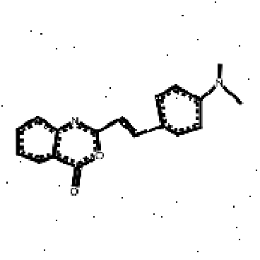 CN(C)c1ccc(C=Cc2nc3ccccc3c(=O)o2)cc1